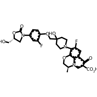 C[C@H]1COc2c(N3CCC(O)(COc4ccc(N5C[C@H](CO)OC5=O)cc4F)CC3)c(F)cc3c(=O)c(C(=O)O)cn1c23